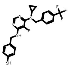 Fc1c(NCc2ccc(S)cc2)ncnc1N(Cc1ccc(C(F)(F)F)cc1)C1CC1